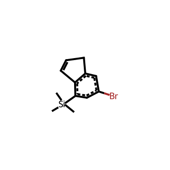 C[Si](C)(C)c1cc(Br)cc2c1C=CC2